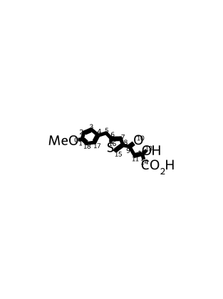 COc1ccc(Cc2cc(C(=O)/C=C(\O)C(=O)O)cs2)cc1